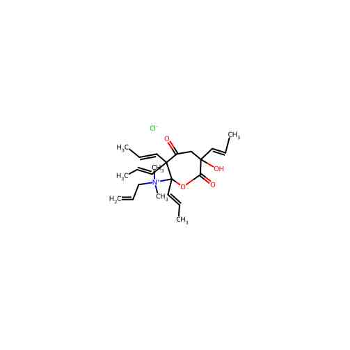 C=CC[N+](C)(C)C1(C=CC)OC(=O)C(O)(C=CC)CC(=O)C1(C=CC)C=CC.[Cl-]